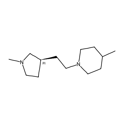 CC1CCN(CC[C@H]2CCN(C)C2)CC1